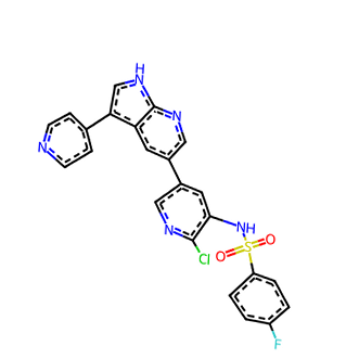 O=S(=O)(Nc1cc(-c2cnc3[nH]cc(-c4ccncc4)c3c2)cnc1Cl)c1ccc(F)cc1